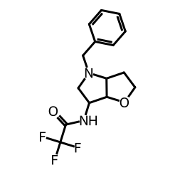 O=C(NC1CN(Cc2ccccc2)C2CCOC12)C(F)(F)F